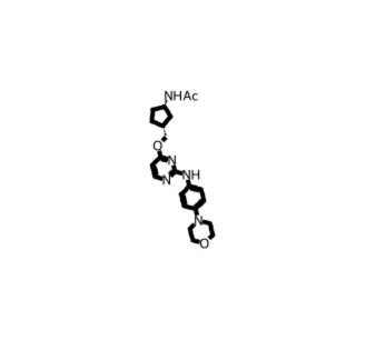 CC(=O)N[C@H]1CC[C@@H](COc2ccnc(Nc3ccc(N4CCOCC4)cc3)n2)C1